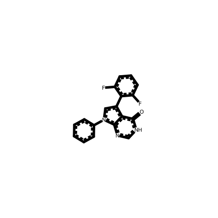 O=c1[nH]cnc2c1c(-c1c(F)cccc1F)cn2-c1ccccc1